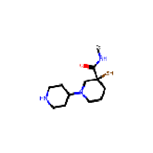 CCNC(=O)C1(S)CCCN(C2CCNCC2)C1